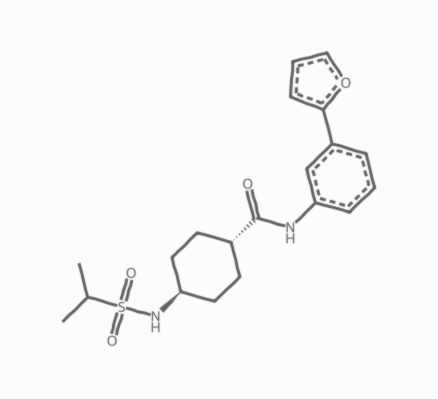 CC(C)S(=O)(=O)N[C@H]1CC[C@H](C(=O)Nc2cccc(-c3ccco3)c2)CC1